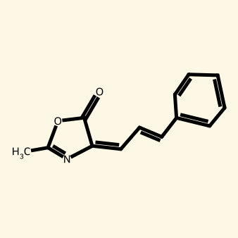 CC1=NC(=CC=Cc2ccccc2)C(=O)O1